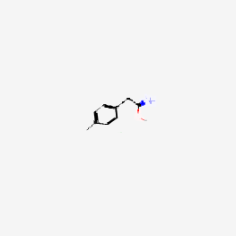 CCOC(=N)Cc1ccc(CC)cc1.Cl